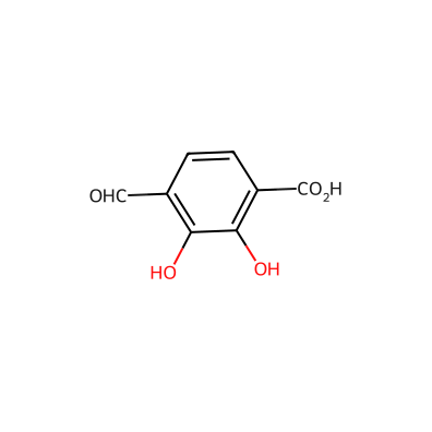 O=Cc1ccc(C(=O)O)c(O)c1O